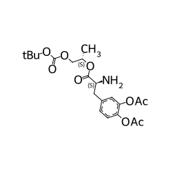 CC(=O)Oc1ccc(C[C@H](N)C(=O)O[C@@H](C)COC(=O)OC(C)(C)C)cc1OC(C)=O